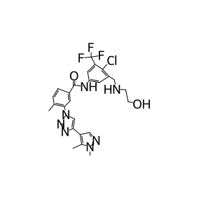 Cc1ccc(C(=O)Nc2cc(CNCCO)c(Cl)c(C(F)(F)F)c2)cc1-n1cc(-c2cnn(C)c2C)nn1